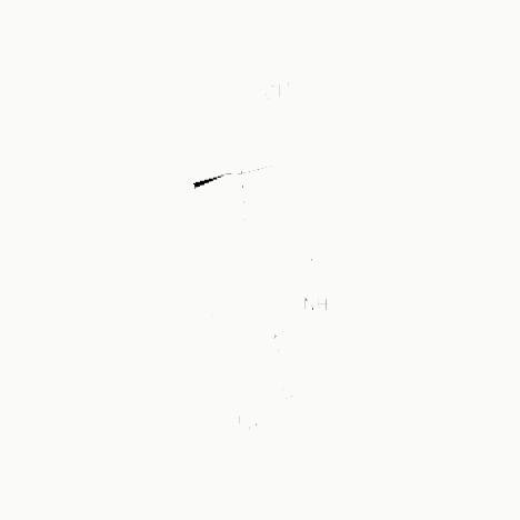 CC(C)(C)OC(=O)N[C@H]1C=C[C@@](C)(CO)C1